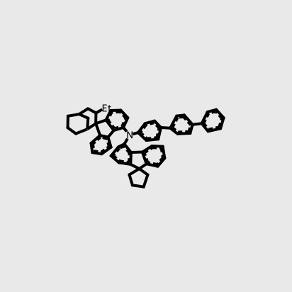 CCC1CC2CCCC(C2)C12c1ccccc1-c1c(N(c3ccc(-c4ccc(-c5ccccc5)cc4)cc3)c3cccc4c3-c3ccccc3C43CCCC3)cccc12